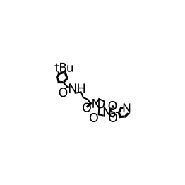 CC(C)(C)c1ccc(C(=O)NCCCCC(=O)N2CCC3C2C(=O)CN3S(=O)(=O)c2cccnc2)cc1